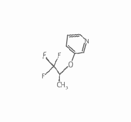 C[C@H](Oc1cccnc1)C(F)(F)F